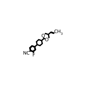 CC=CC1COC(C2CCC(c3ccc(C#N)c(F)c3)CC2)OC1